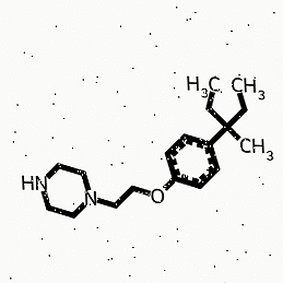 CCC(C)(CC)c1ccc(OCCN2CCNCC2)cc1